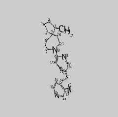 C[C@@H]1CCCC12CCN(c1cnc(Sc3ccncc3F)cn1)CC2